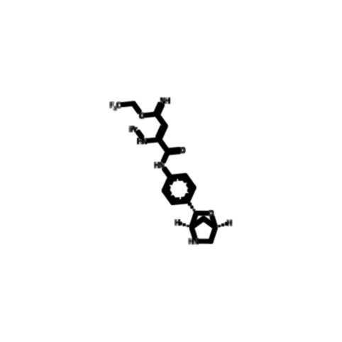 CC(C)N/C(=C\C(=N)OCC(F)(F)F)C(=O)Nc1ccc([C@@H]2O[C@H]3CN[C@@H]2C3)cc1